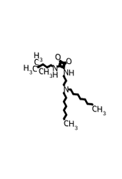 CCCCCCCCN(CCCCCCCC)CCCNc1c(NCCCC(C)(C)C)c(=O)c1=O